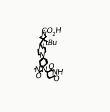 Cn1c(=O)n(C2CCC(=O)NC2=O)c2ccc(N3CCN(CC4(C(C)(C)C)CN(C(=O)O)C4)CC3)cc21